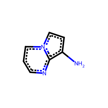 Nc1ccn2cccnc12